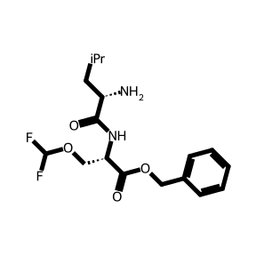 CC(C)C[C@H](N)C(=O)N[C@@H](COC(F)F)C(=O)OCc1ccccc1